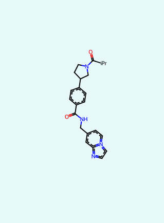 CC(C)C(=O)N1CCC(c2ccc(C(=O)NCc3ccn4ccnc4c3)cc2)C1